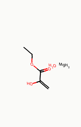 C=C(O)C(=O)OCC.O.[MgH2]